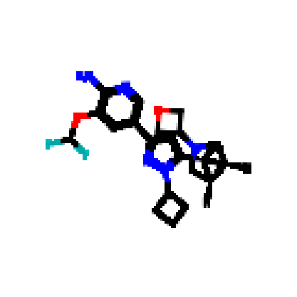 Nc1ncc(-c2cc([C@]34C5[C@@H]3[C@@H]4CN5C3COC3)n(C3CCC3)n2)cc1OC(F)F